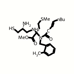 CCCC/C=C/CC(=O)N(Cc1ccccc1C)[C@](CCSC)(NC[C@@H](N)CS)C(=O)OC